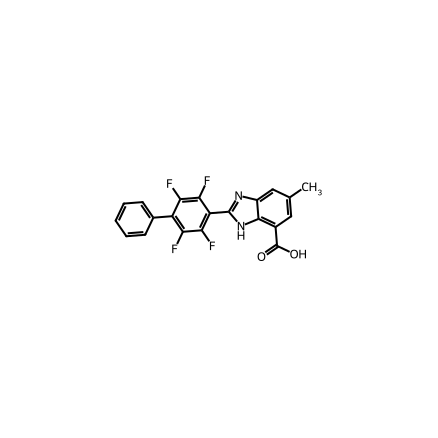 Cc1cc(C(=O)O)c2[nH]c(-c3c(F)c(F)c(-c4ccccc4)c(F)c3F)nc2c1